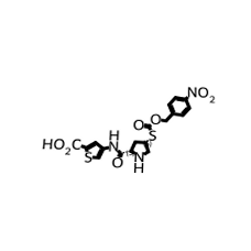 O=C(OCc1ccc([N+](=O)[O-])cc1)S[C@@H]1CN[C@H](C(=O)Nc2csc(C(=O)O)c2)C1